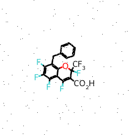 O=C(O)C1=C(F)c2c(F)c(F)c(F)c(Cc3ccccc3)c2OC1(F)C(F)(F)F